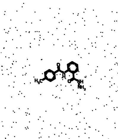 Cc1ccc(C(=O)Nc2ccccc2C(=O)NN)cc1